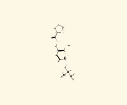 COc1nc(OCC(F)(C(F)(F)F)C(F)(F)F)c(F)cc1CNC(=O)C1CCCN1